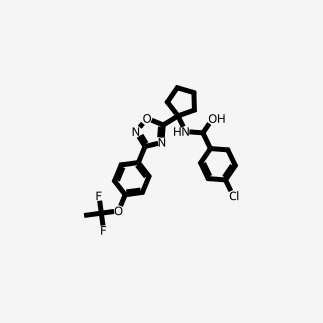 CC(F)(F)Oc1ccc(-c2noc(C3(NC(O)C4C=CC(Cl)=CC4)CCCC3)n2)cc1